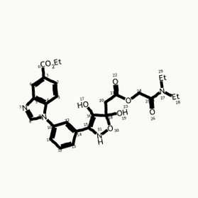 CCOC(=O)c1ccc2c(c1)ncn2-c1cccc(C2=C(O)C(O)(CC(=O)OCC(=O)N(CC)CC)ON2)c1